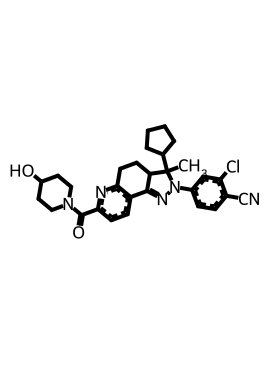 CC1(C2CCCC2)C2CCc3nc(C(=O)N4CCC(O)CC4)ccc3C2=NN1c1ccc(C#N)c(Cl)c1